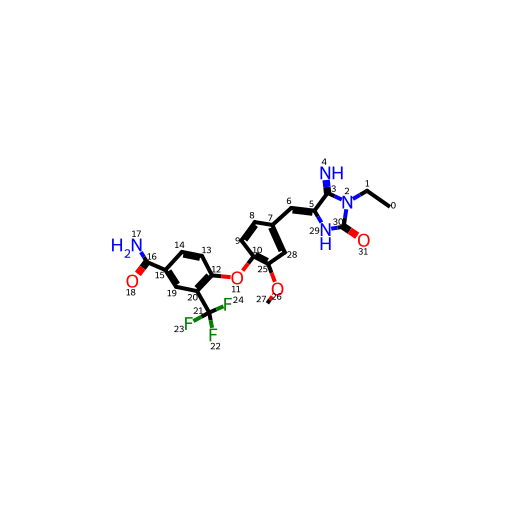 CCN1C(=N)C(=Cc2ccc(Oc3ccc(C(N)=O)cc3C(F)(F)F)c(OC)c2)NC1=O